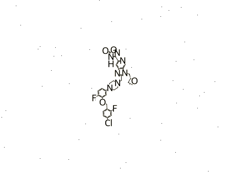 O=c1[nH]c(-c2cc3nc(CN4CCN(c5ccc(F)c(OCc6ccc(Cl)cc6F)c5)CC4)n(C[C@@H]4CCO4)c3cn2)no1